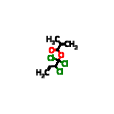 C=CC(Cl)C(Cl)(Cl)OC(=O)C(=C)C